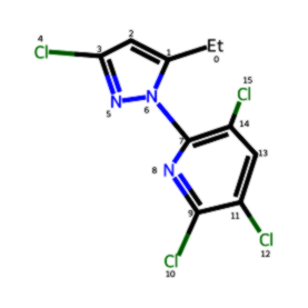 CCc1cc(Cl)nn1-c1nc(Cl)c(Cl)cc1Cl